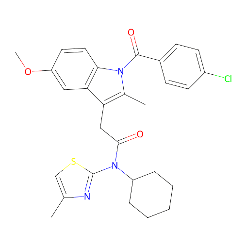 COc1ccc2c(c1)c(CC(=O)N(c1nc(C)cs1)C1CCCCC1)c(C)n2C(=O)c1ccc(Cl)cc1